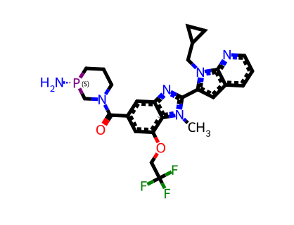 Cn1c(-c2cc3cccnc3n2CC2CC2)nc2cc(C(=O)N3CCC[P@@](N)C3)cc(OCC(F)(F)F)c21